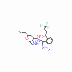 CC=CC(=O)C/C(=C/NC/C(=C/N)c1ccccc1C(O)CCC(F)(F)F)C1C=CN1